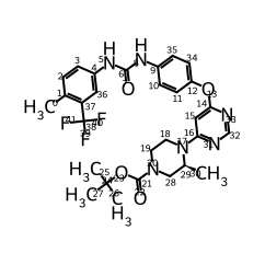 Cc1ccc(NC(=O)Nc2ccc(Oc3cc(N4CCN(C(=O)OC(C)(C)C)C[C@@H]4C)ncn3)cc2)cc1C(F)(F)F